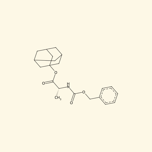 C[C@@H](NC(=O)OCc1ccccc1)C(=O)OC12CC3CC(CC(C3)C1)C2